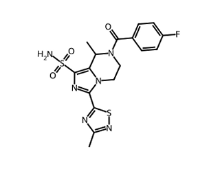 Cc1nsc(-c2nc(S(N)(=O)=O)c3n2CCN(C(=O)c2ccc(F)cc2)C3C)n1